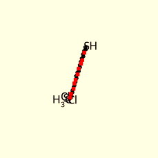 C[Si](Cl)(Cl)CCCCCCCCCCCCCCCCCCCCCCCCCCCCS